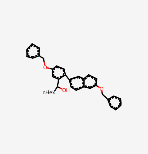 CCCCCCC(O)c1cc(OCc2ccccc2)ccc1-c1ccc2cc(OCc3ccccc3)ccc2c1